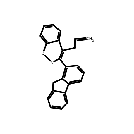 C=CCC1=C(c2cccc3c2Cc2ccccc2-3)NOc2ccccc21